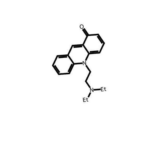 CCN(CC)CCn1c2cccc(=O)c-2cc2ccccc21